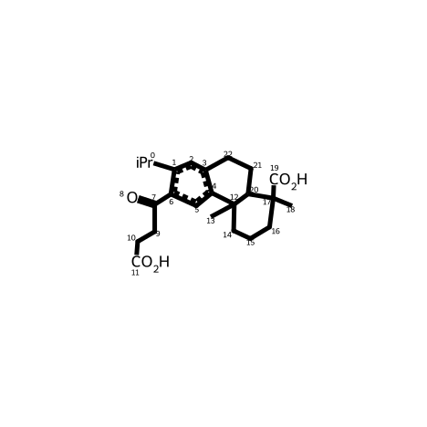 CC(C)c1cc2c(cc1C(=O)CCC(=O)O)C1(C)CCCC(C)(C(=O)O)C1CC2